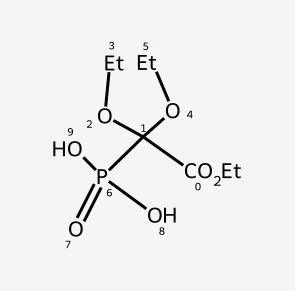 CCOC(=O)C(OCC)(OCC)P(=O)(O)O